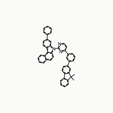 CC1(C)c2ccccc2-c2ccc(-c3cccc(-c4ccnc(-n5c6cc(-c7ccccc7)ccc6c6c7ccccc7ccc65)n4)c3)cc21